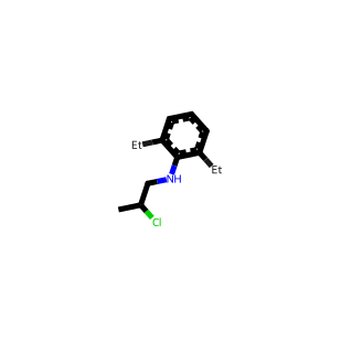 CCc1cccc(CC)c1NCC(C)Cl